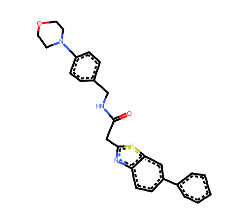 O=C(Cc1nc2ccc(-c3ccccc3)cc2s1)NCc1ccc(N2CCOCC2)cc1